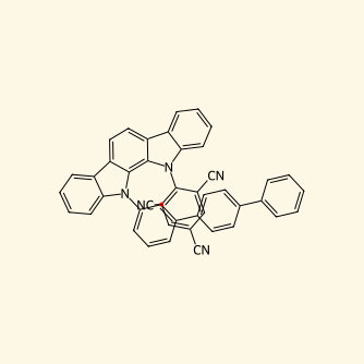 N#Cc1cc(C#N)c(-n2c3ccccc3c3ccc4c5ccccc5n(-c5cccc(-c6ccc(-c7ccccc7)cc6)c5)c4c32)c(C#N)c1